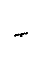 C=C.C=CCCCCCCCC